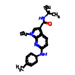 CCCC[C@@H](C)NC(=O)c1cn(C(C)(C)C)c2nc(Nc3ccc(C)cc3)ccc12